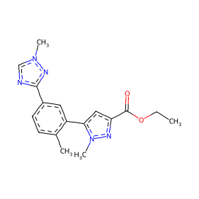 CCOC(=O)c1cc(-c2cc(-c3ncn(C)n3)ccc2C)n(C)n1